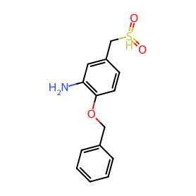 Nc1cc(C[SH](=O)=O)ccc1OCc1ccccc1